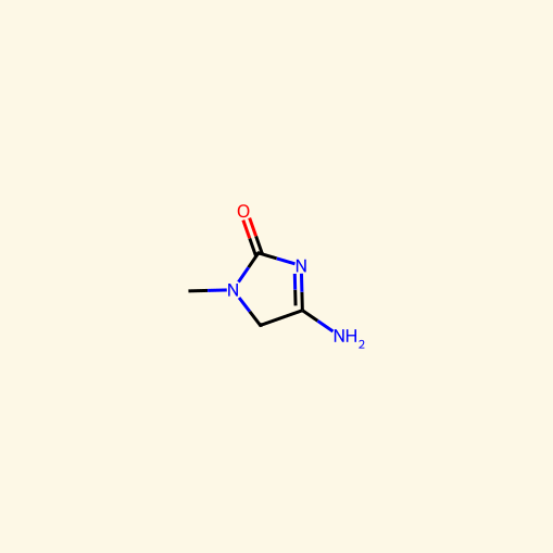 CN1CC(N)=NC1=O